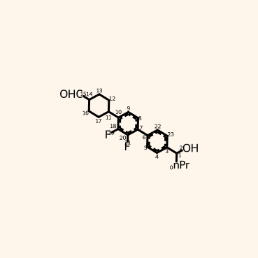 CCCC(O)c1ccc(-c2ccc(C3CCC(C=O)CC3)c(F)c2F)cc1